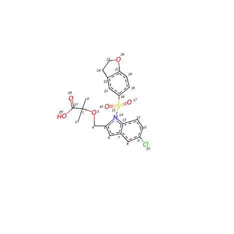 CC(C)(OCc1cc2cc(Cl)ccc2n1S(=O)(=O)c1ccc2c(c1)CCO2)C(=O)O